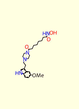 COc1ccc2[nH]cc(CCN3CCN(C(=O)CCCCCCC(=O)NO)CC3)c2c1